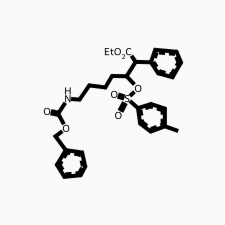 CCOC(=O)C(c1ccccc1)C(CCCCNC(=O)OCc1ccccc1)OS(=O)(=O)c1ccc(C)cc1